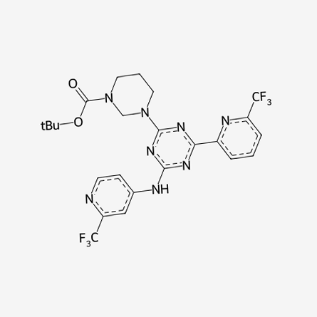 CC(C)(C)OC(=O)N1CCCN(c2nc(Nc3ccnc(C(F)(F)F)c3)nc(-c3cccc(C(F)(F)F)n3)n2)C1